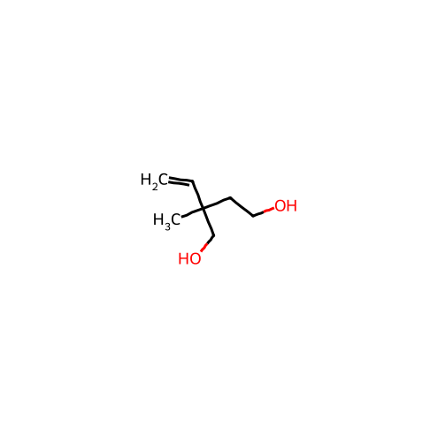 C=CC(C)(CO)CCO